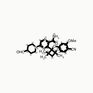 COc1cc(OC2(c3nc(N4CCC(C=O)CC4)cnc3C(N)=O)C(C)(C)CC2(C)C)ccc1C#N